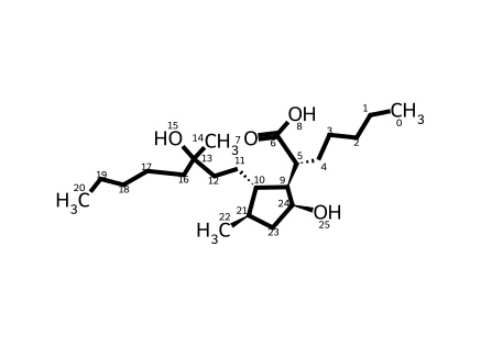 CCCCC[C@@H](C(=O)O)[C@@H]1[C@@H](CCC(C)(O)CCCCC)[C@H](C)C[C@@H]1O